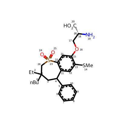 CCCCC1(CC)CC(c2ccccc2)c2cc(SC)c(OC[C@@H](N)C(=O)O)cc2S(=O)(=O)C1